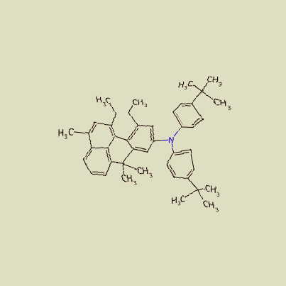 CCc1cc(N(c2ccc(C(C)(C)C)cc2)c2ccc(C(C)(C)C)cc2)cc2c1-c1c(CC)cc(C)c3cccc(c13)C2(C)C